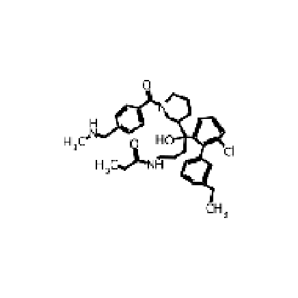 CCC(=O)NCCCC(O)(c1cccc(Cl)c1-c1cccc(CC)c1)C1CCCN(C(=O)c2ccc(CNC)cc2)C1